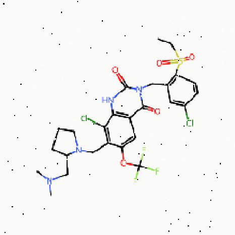 CCS(=O)(=O)c1ccc(Cl)cc1Cn1c(=O)[nH]c2c(Cl)c(CN3CCC[C@@H]3CN(C)C)c(OC(F)(F)F)cc2c1=O